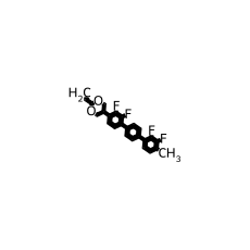 C=CC1OCC(c2ccc(-c3ccc(-c4ccc(C)c(F)c4F)cc3)c(F)c2F)CO1